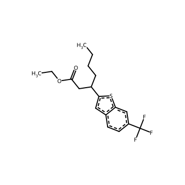 CCCCC(CC(=O)OCC)c1cc2ccc(C(F)(F)F)cc2s1